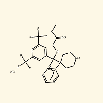 CCOC(OCC(=O)OC)(c1cc(C(F)(F)F)cc(C(F)(F)F)c1)C1(c2ccccc2)CCNCC1.Cl